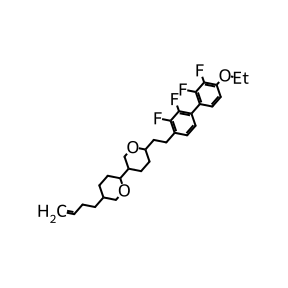 C=CCCC1CCC(C2CCC(CCc3ccc(-c4ccc(OCC)c(F)c4F)c(F)c3F)OC2)OC1